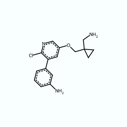 NCC1(COc2cnc(Cl)c(-c3cccc(N)c3)c2)CC1